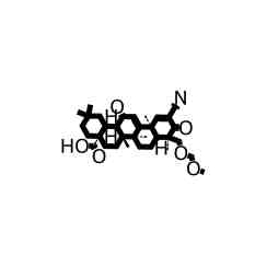 COCOC[C@]1(C)C(=O)C(C#N)=C[C@]2(C)C3=CC(=O)[C@@H]4[C@@H]5CC(C)(C)CC[C@]5(C(=O)O)CC[C@@]4(C)[C@]3(C)CC[C@H]21